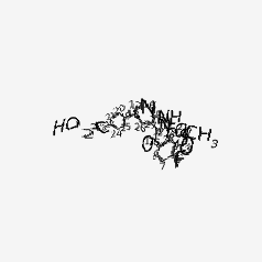 CS(=O)(=O)c1c(F)ccc(C(=O)c2n[nH]c3ncc(-c4ccc(C(=O)O)cc4)cc23)c1F